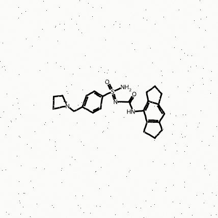 NS(=O)(=NC(=O)Nc1c2c(cc3c1CCC3)CCC2)c1ccc(CN2CCC2)cc1